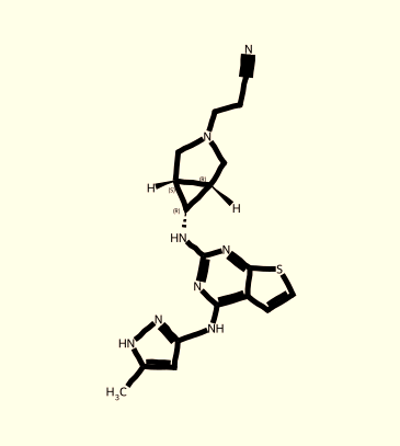 Cc1cc(Nc2nc(N[C@@H]3[C@@H]4CN(CCC#N)C[C@@H]43)nc3sccc23)n[nH]1